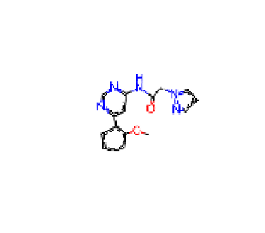 COc1ccccc1-c1cc(NC(=O)Cn2cccn2)ncn1